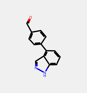 O=Cc1ccc(-c2cccc3[nH]ncc23)cc1